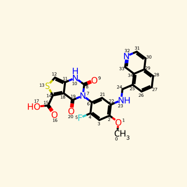 COc1cc(F)c(-n2c(=O)[nH]c3csc(C(=O)O)c3c2=O)cc1NCc1cccc2ccncc12